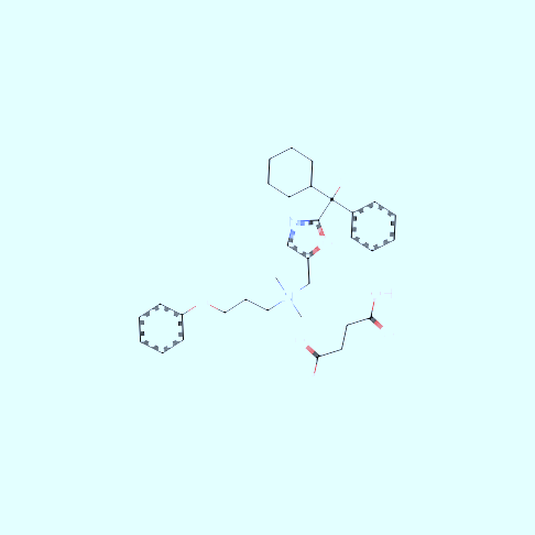 C[N+](C)(CCCOc1ccccc1)Cc1cnc(C(O)(c2ccccc2)C2CCCCC2)o1.O=C([O-])CCC(=O)O